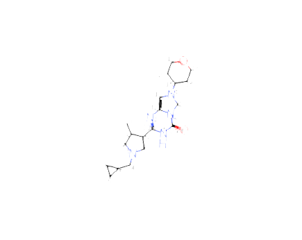 CC1CN(CC2CC2)CC1C1=NC2=CN(C3CCOCC3)CN2C(=O)N1